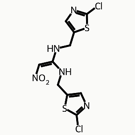 O=[N+]([O-])C=C(NCc1cnc(Cl)s1)NCc1cnc(Cl)s1